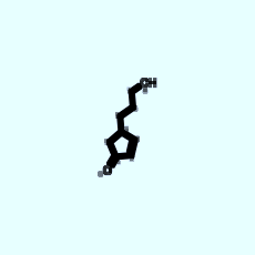 O=C1C=CC(CCCO)C1